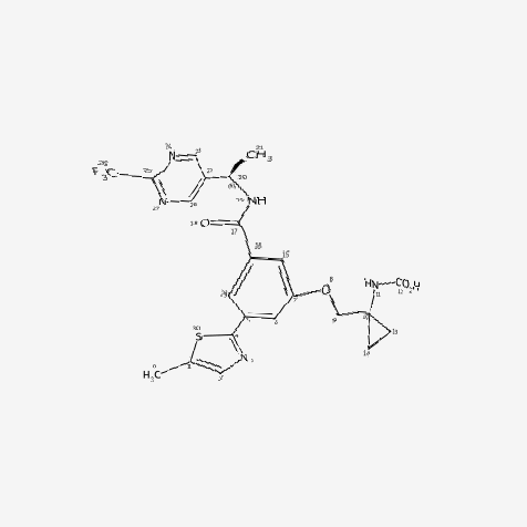 Cc1cnc(-c2cc(OCC3(NC(=O)O)CC3)cc(C(=O)N[C@H](C)c3cnc(C(F)(F)F)nc3)c2)s1